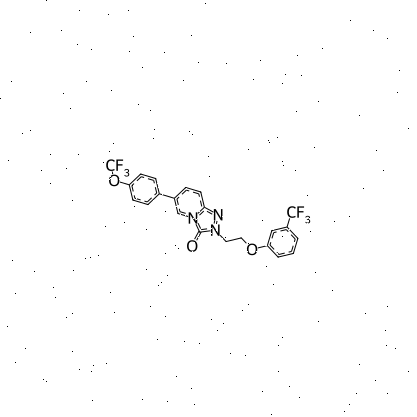 O=c1n(CCOc2cccc(C(F)(F)F)c2)nc2ccc(-c3ccc(OC(F)(F)F)cc3)cn12